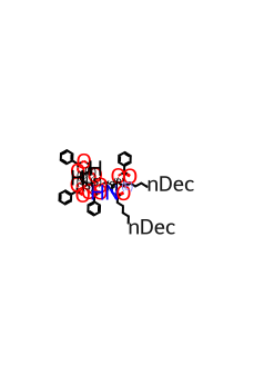 CCCCCCCCCCCCC/C=C/[C@@H](OC(=O)c1ccccc1)[C@H](CO[C@H]1O[C@@H]2COC(c3ccccc3)O[C@H]2[C@H](OC(=O)c2ccccc2)[C@@H]1OC(=O)c1ccccc1)NC(=O)CCCCCCCCCCCCCCC